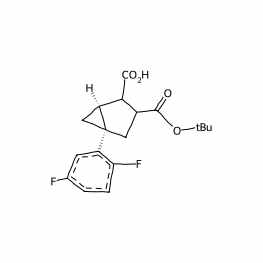 CC(C)(C)OC(=O)C1C[C@@]2(c3cc(F)ccc3F)C[C@H]2C1C(=O)O